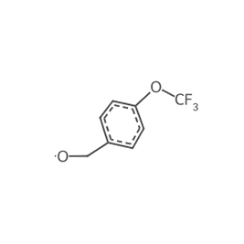 [O]Cc1ccc(OC(F)(F)F)cc1